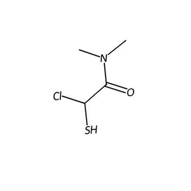 CN(C)C(=O)C(S)Cl